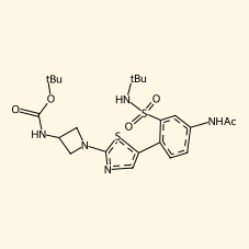 CC(=O)Nc1ccc(-c2cnc(N3CC(NC(=O)OC(C)(C)C)C3)s2)c(S(=O)(=O)NC(C)(C)C)c1